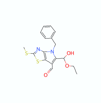 CCOC(O)c1c(C=O)c2sc(SC)nc2n1Cc1ccccc1